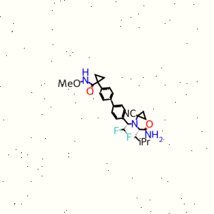 CONC(=O)C1(c2ccc(-c3ccc([C@@H](C(F)F)N([C@@H](CC(C)C)C(N)=O)C4(C#N)CC4)cc3)cc2)CC1